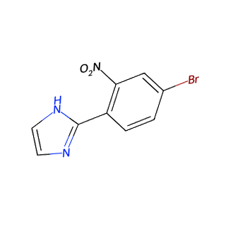 O=[N+]([O-])c1cc(Br)ccc1-c1ncc[nH]1